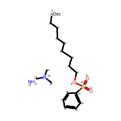 CCCCCCCCCCCCCCCCCCOS(=O)(=O)c1ccccc1.CN(C)C.N